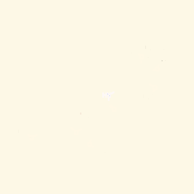 COc1ccc(COc2c(OC)ccc(CC(=O)NCCc3cc(OC)c(O[Si](C)(C)C(C)(C)C)c(OC)c3)c2Br)cc1